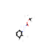 Cc1cccc(NNC(=O)OC(C)(C)C)c1C